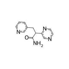 NC(=O)C(Cc1cccnc1)c1cnccn1